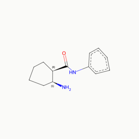 N[C@H]1CCCC[C@H]1C(=O)Nc1ccccc1